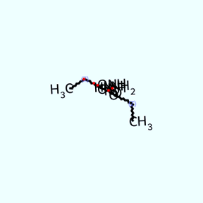 CCCCCCCC/C=C\CCCCCCCC(=O)OCCN(CCOC(=O)CCCCCCC/C=C\CCCCCCCC)C(=N)NC(=N)N